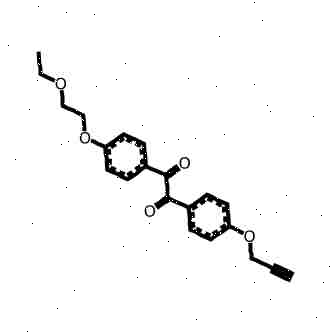 C#CCOc1ccc(C(=O)C(=O)c2ccc(OCCOCC)cc2)cc1